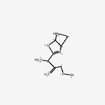 C=C(COO)C(C(=O)O)C1=NC2CNC2O1